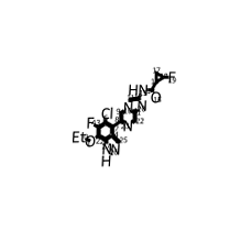 CCOc1c(F)c(Cl)c(-c2cn3cc(NC(=O)C4CC4F)nc3cn2)c2cn[nH]c12